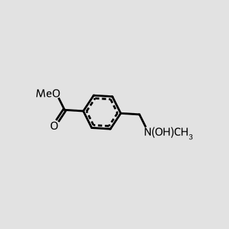 COC(=O)c1ccc(CN(C)O)cc1